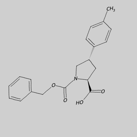 Cc1ccc([C@@H]2C[C@@H](C(=O)O)N(C(=O)OCc3ccccc3)C2)cc1